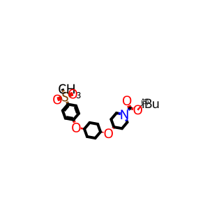 CC[C@H](C)OC(=O)N1CCC(O[C@H]2CC[C@H](Oc3ccc(S(C)(=O)=O)cc3)CC2)CC1